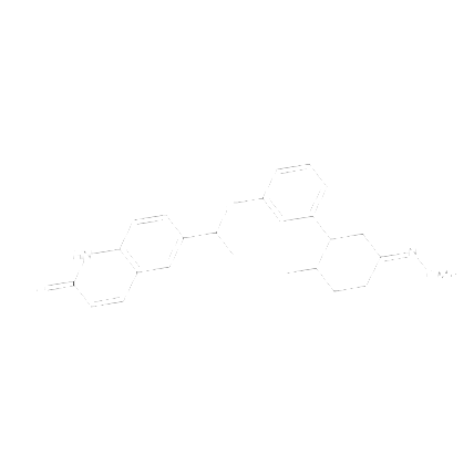 CON=C1CCC(C)C(c2cccc(OC(C)c3ccc4[nH]c(=O)ccc4c3)c2)C1